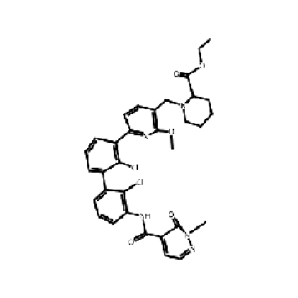 CCOC(=O)C1CCCCN1Cc1ccc(-c2cccc(-c3cccc(NC(=O)c4ccnn(C)c4=O)c3Cl)c2Cl)nc1OC